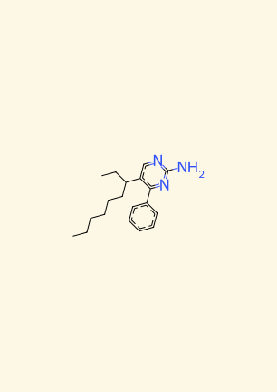 CCCCCCC(CC)c1cnc(N)nc1-c1ccccc1